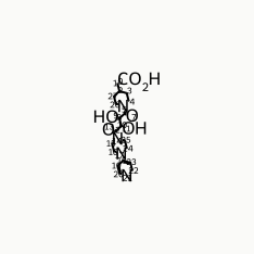 O=C(O)CC1CCN(C(=O)C(O)C(O)C(=O)N2CCN(c3ccncc3)CC2)CC1